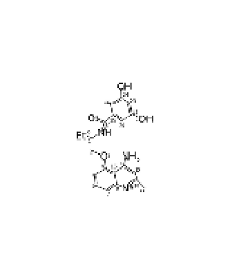 CCC(COc1cccc2nc(C)cc(N)c12)NC(=O)c1cc(O)cc(O)c1